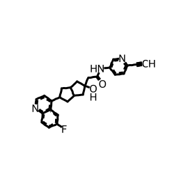 C#Cc1ccc(NC(=O)CC2(O)CC3CC(c4ccnc5ccc(F)cc45)CC3C2)cn1